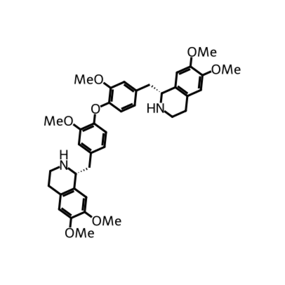 COc1cc2c(cc1OC)[C@@H](Cc1ccc(Oc3ccc(C[C@H]4NCCc5cc(OC)c(OC)cc54)cc3OC)c(OC)c1)NCC2